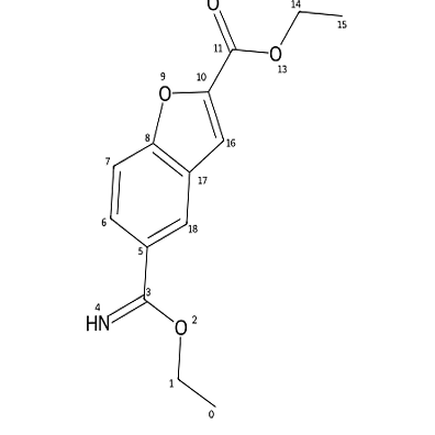 CCOC(=N)c1ccc2oc(C(=O)OCC)cc2c1